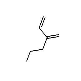 [CH]=C(C=C)CCCCC